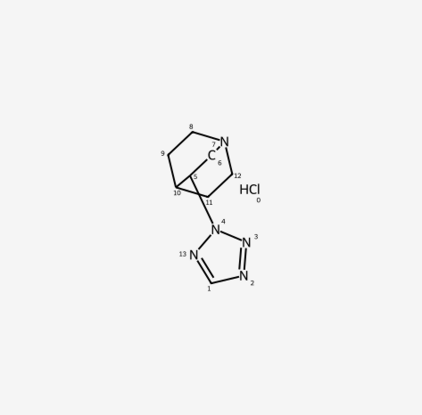 Cl.c1nnn(C2CN3CCC2CC3)n1